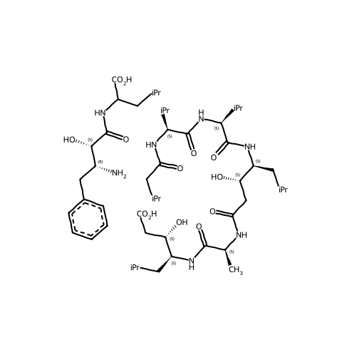 CC(C)CC(=O)N[C@H](C(=O)N[C@H](C(=O)N[C@@H](CC(C)C)[C@@H](O)CC(=O)N[C@@H](C)C(=O)N[C@@H](CC(C)C)[C@@H](O)CC(=O)O)C(C)C)C(C)C.CC(C)CC(NC(=O)[C@@H](O)[C@H](N)Cc1ccccc1)C(=O)O